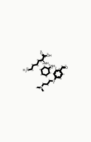 CN(C)CCCOc1ccc(C=O)cc1.NC1CCCCC1.NCCCC[C@H](N)C(=O)O